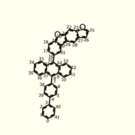 c1ccc(-c2ccc(-c3c4ccccc4c(-c4ccc5oc6cc7occc7cc6c5c4)c4ccccc34)cc2)cc1